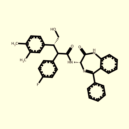 Cc1ccc([C@H](CO)C(C(=O)N[C@H]2N=C(c3ccccc3)c3ccccc3NC2=O)c2ccc(F)cc2)cc1C